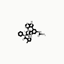 Cc1ccn2nc([C@H](C)Nc3ncnc4[nH]cc(-c5cc(NC(N)=O)cc6[nH]ccc56)c34)n(-c3ccccc3)c(=O)c12